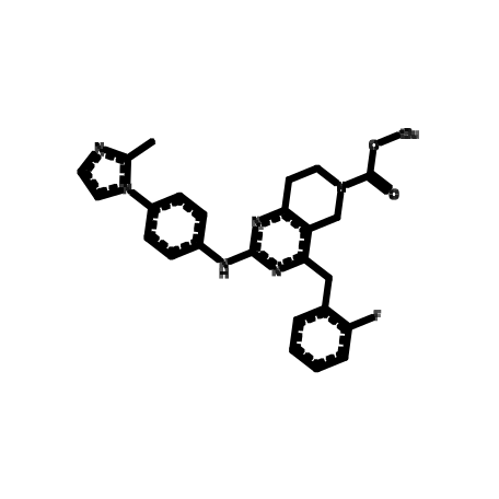 Cc1nccn1-c1ccc(Nc2nc3c(c(Cc4ccccc4F)n2)CN(C(=O)OC(C)(C)C)CC3)cc1